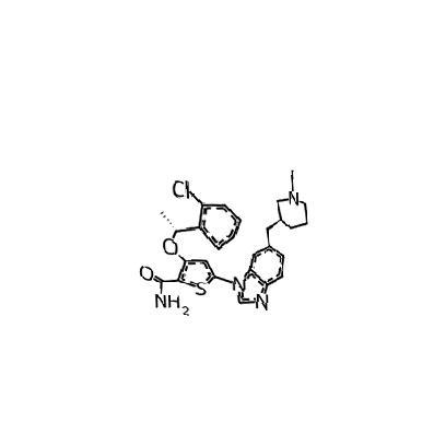 C[C@@H](Oc1cc(-n2cnc3ccc(C[C@@H]4CCCN(C)C4)cc32)sc1C(N)=O)c1ccccc1Cl